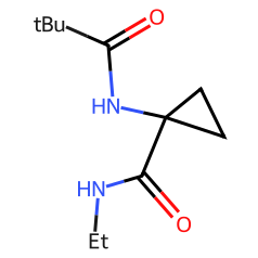 CCNC(=O)C1(NC(=O)C(C)(C)C)CC1